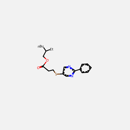 CCCCC(CC)COC(=O)CCSc1cnc(-c2ccccc2)nc1